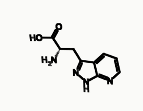 N[C@@H](Cc1n[nH]c2ncccc12)C(=O)O